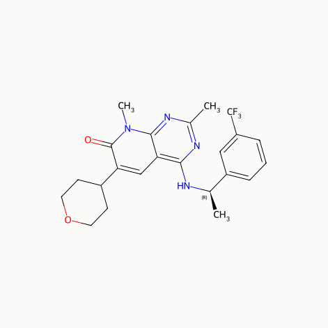 Cc1nc(N[C@H](C)c2cccc(C(F)(F)F)c2)c2cc(C3CCOCC3)c(=O)n(C)c2n1